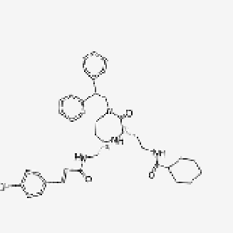 O=C(C=Cc1ccc(Cl)cc1)NC[C@@H]1CCN(CC(c2ccccc2)c2ccccc2)C(=O)[C@H](CCNC(=O)C2CCCCC2)N1